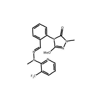 COc1nn(C)c(=O)n1-c1ccccc1C=NN(C)c1ncccc1C(F)(F)F